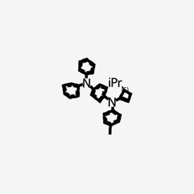 Cc1ccc(N(C2=CC[C@H]2C(C)C)c2ccc(N(c3ccccc3)c3ccccc3)cc2)cc1